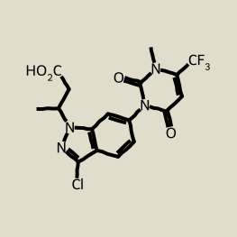 CC(CC(=O)O)n1nc(Cl)c2ccc(-n3c(=O)cc(C(F)(F)F)n(C)c3=O)cc21